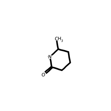 CC1CCCC(=O)[N]1